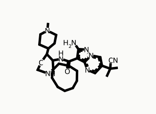 CN1CCC(C2CCNC3(CCCCCCCC3)C2NC(=O)c2c(N)nn3cc(C(C)(C)C#N)cnc23)CC1